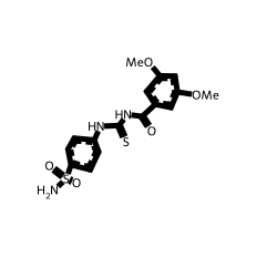 COc1cc(OC)cc(C(=O)NC(=S)Nc2ccc(S(N)(=O)=O)cc2)c1